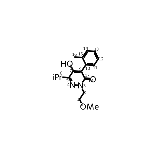 COCCn1nc(C(C)C)c(O)c(-c2ccccc2C)c1=O